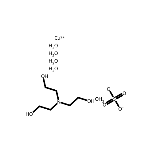 O.O.O.O.O.O=S(=O)([O-])[O-].OCCN(CCO)CCO.[Cu+2]